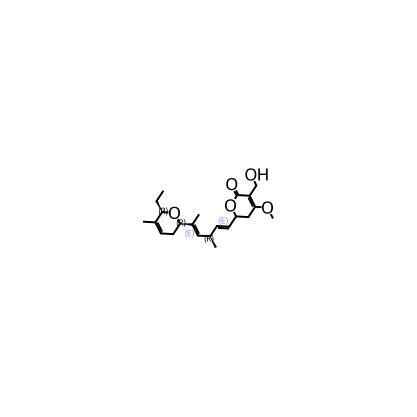 CC[C@H]1O[C@@H](/C(C)=C/[C@H](C)/C=C/C2CC(OC)=C(CO)C(=O)O2)CC=C1C